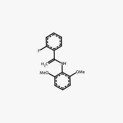 C=C(Nc1c(OC)cccc1OC)c1ccccc1F